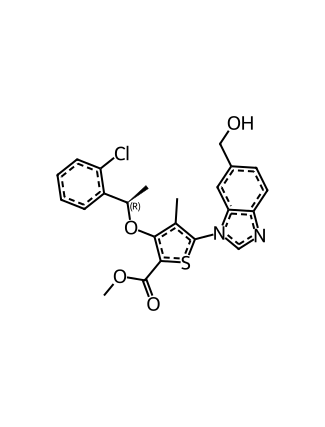 COC(=O)c1sc(-n2cnc3ccc(CO)cc32)c(C)c1O[C@H](C)c1ccccc1Cl